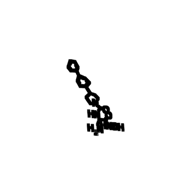 NC[C@@H](NC(=O)N1CCC(c2ccc(-c3ccccc3)cc2)CC1)C(=O)NO